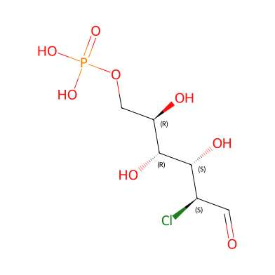 O=C[C@@H](Cl)[C@@H](O)[C@H](O)[C@H](O)COP(=O)(O)O